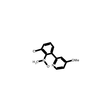 COc1ccnc(-c2cccc(Cl)c2[S+](C)[O-])c1